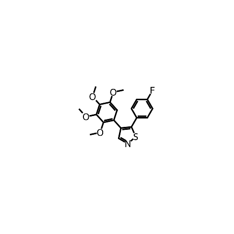 COc1cc(-c2cnsc2-c2ccc(F)cc2)c(OC)c(OC)c1OC